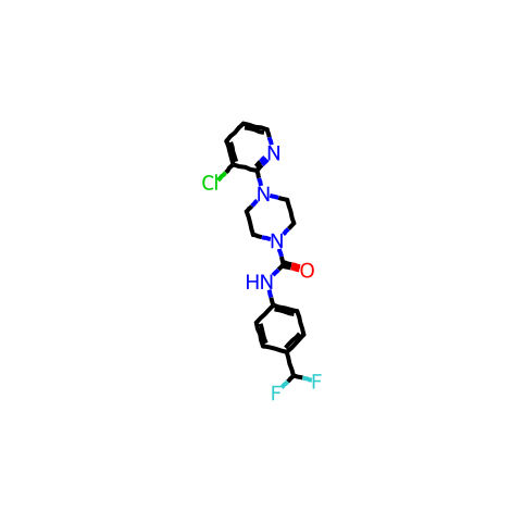 O=C(Nc1ccc(C(F)F)cc1)N1CCN(c2ncccc2Cl)CC1